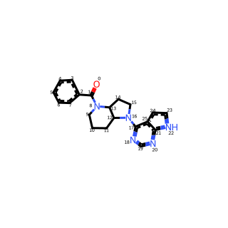 O=C(c1ccccc1)N1CCCC2C1CCN2c1ncnc2[nH]ccc12